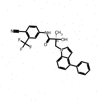 C[C@](O)(Cn1ccc2c(-c3ccccc3)cccc21)C(=O)Nc1ccc(C#N)c(C(F)(F)F)c1